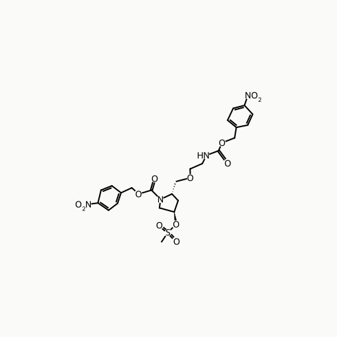 CS(=O)(=O)O[C@@H]1C[C@@H](COCCNC(=O)OCc2ccc([N+](=O)[O-])cc2)N(C(=O)OCc2ccc([N+](=O)[O-])cc2)C1